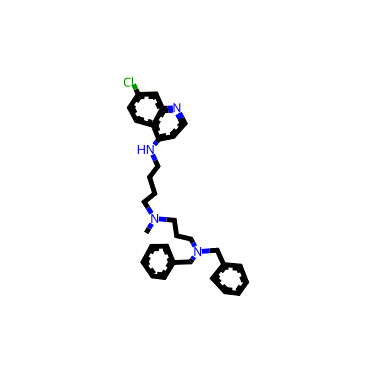 CN(CCCCNc1ccnc2cc(Cl)ccc12)CCCN(Cc1ccccc1)Cc1ccccc1